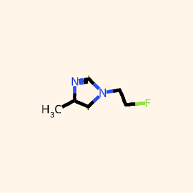 CC1[CH]N(CCF)[C]=N1